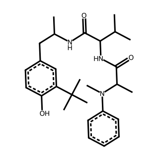 CC(Cc1ccc(O)c(C(C)(C)C)c1)NC(=O)C(NC(=O)C(C)N(C)c1ccccc1)C(C)C